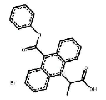 CC(C(=O)O)[n+]1c2ccccc2c(C(=O)Oc2ccccc2)c2ccccc21.[Br-]